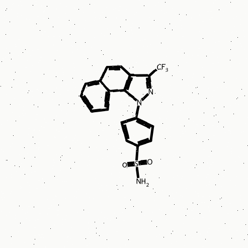 NS(=O)(=O)c1ccc(-n2nc(C(F)(F)F)c3ccc4c[c]ccc4c32)cc1